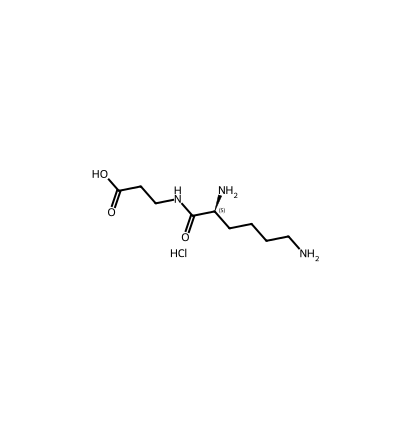 Cl.NCCCC[C@H](N)C(=O)NCCC(=O)O